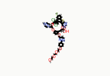 COCCOCCOCCOC1CCC(c2nccc(COc3ccc4cc3C[C@H](C(=O)O)Oc3ncnc5sc(-c6ccc(F)cc6)c(c35)-c3c(C)c(Cl)c(c(Cl)c3C)O[C@H](CN3CCN(C)CC3)CO4)n2)CC1